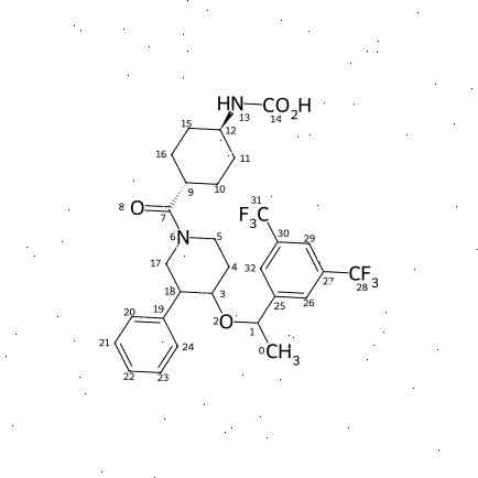 CC(OC1CCN(C(=O)[C@H]2CC[C@H](NC(=O)O)CC2)CC1c1ccccc1)c1cc(C(F)(F)F)cc(C(F)(F)F)c1